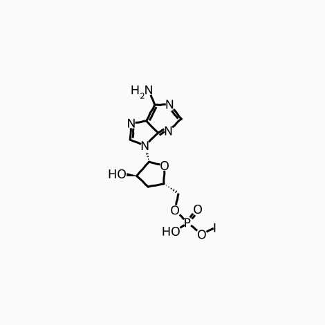 Nc1ncnc2c1ncn2[C@@H]1O[C@H](COP(=O)(O)OI)C[C@H]1O